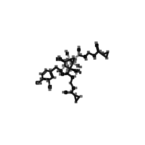 N[C@]1(C(=O)OCOC(=O)C2CC2)[C@@H]2[C@@H](C(=O)OCOC(=O)C3CC3)[C@@H]2[C@H](O)[C@H]1OCc1ccc(Cl)c(Cl)c1